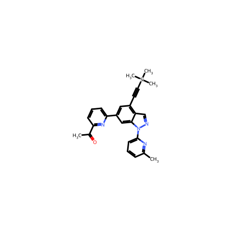 CC(=O)c1cccc(-c2cc(C#C[Si](C)(C)C)c3cnn(-c4cccc(C)n4)c3c2)n1